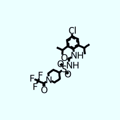 CC(C)c1cc(Cl)cc(C(C)C)c1NC(=O)NS(=O)(=O)C1CCN(C(=O)C(F)(F)F)CC1